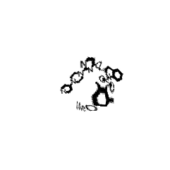 COc1cc(C)c(S(=O)(=O)N2c3ccccc3C[C@H]2COc2ccnc(N3CCN(c4ccncc4)CC3)n2)c(C)c1